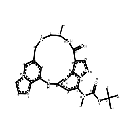 C[C@@H]1COCc2cc(c3nccn3c2)Nc2cc(N(C)C(=O)OC(C)(C)C)n3ncc(c3n2)C(=O)N1